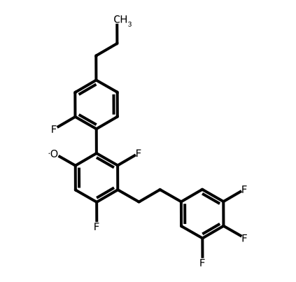 CCCc1ccc(-c2c([O])cc(F)c(CCc3cc(F)c(F)c(F)c3)c2F)c(F)c1